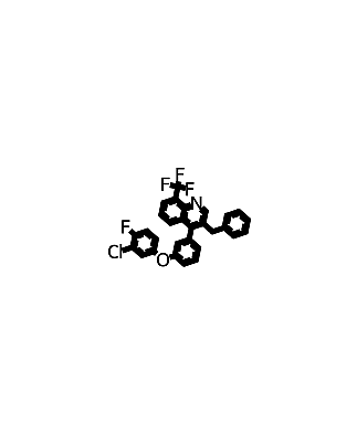 Fc1ccc(Oc2cccc(-c3c(Cc4ccccc4)cnc4c(C(F)(F)F)cccc34)c2)cc1Cl